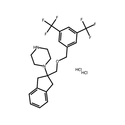 Cl.Cl.FC(F)(F)c1cc(COCC2(N3CCNCC3)Cc3ccccc3C2)cc(C(F)(F)F)c1